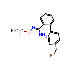 CCOC(=O)O/N=C(\N)c1ccccc1-c1ccc(CBr)cc1